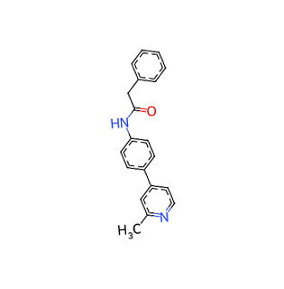 Cc1cc(-c2ccc(NC(=O)Cc3ccccc3)cc2)ccn1